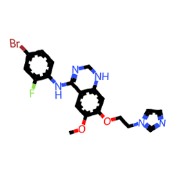 COc1cc2c(cc1OCCn1ccnc1)NCN=C2Nc1ccc(Br)cc1F